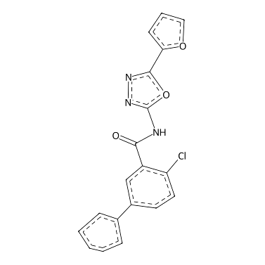 O=C(Nc1nnc(-c2ccco2)o1)c1cc(-c2ccccc2)ccc1Cl